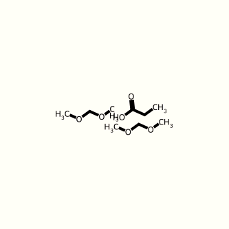 CCC(=O)O.COCOC.COCOC